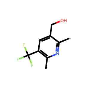 [CH2]c1nc(C)c(C(F)(F)F)cc1CO